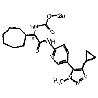 Cn1nnc(C2CC2)c1-c1ccc(NC(=O)[C@@H](NC(=O)OC(C)(C)C)C2CCCCCC2)nc1